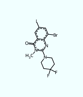 Cn1c(N2CCC(F)(F)CC2)nc2c(Br)cc(I)cc2c1=O